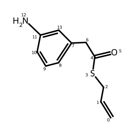 C=CCSC(=O)Cc1cccc(N)c1